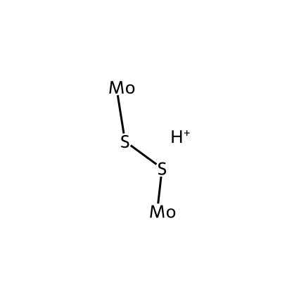 [H+].[Mo][S][S][Mo]